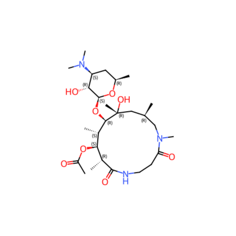 CC(=O)O[C@H]1[C@H](C)[C@@H](O[C@@H]2O[C@H](C)C[C@H](N(C)C)[C@H]2O)[C@](C)(O)C[C@@H](C)CN(C)C(=O)CCNC(=O)[C@@H]1C